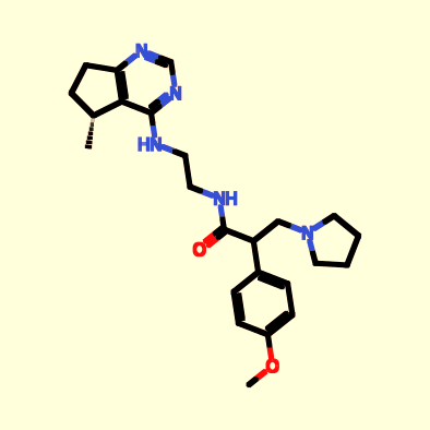 COc1ccc(C(CN2CCCC2)C(=O)NCCNc2ncnc3c2[C@H](C)CC3)cc1